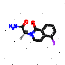 C[C@H](C(N)=O)n1ccc2c(I)cccc2c1=O